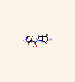 O=C(c1cnco1)N1CC2CNCC21